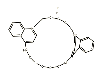 [I-].[I-].c1ccc2c(c1)c1cc[n+]2CCCCC[n+]2ccc(c3ccccc32)NCCOCCN1